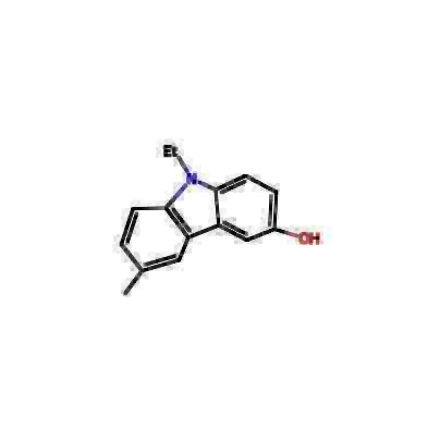 CCn1c2ccc(C)cc2c2cc(O)ccc21